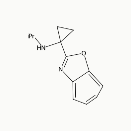 CC(C)NC1(c2nc3ccccc3o2)CC1